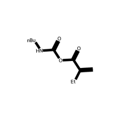 C=C(CC)C(=O)OC(=O)NCCCC